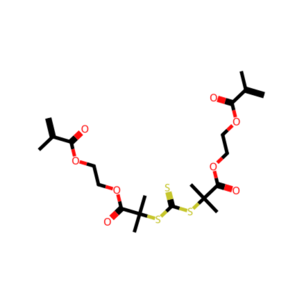 C=C(C)C(=O)OCCOC(=O)C(C)(C)SC(=S)SC(C)(C)C(=O)OCCOC(=O)C(=C)C